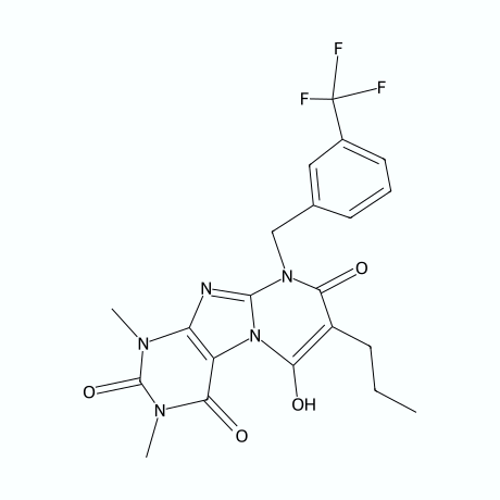 CCCc1c(O)n2c3c(=O)n(C)c(=O)n(C)c3nc2n(Cc2cccc(C(F)(F)F)c2)c1=O